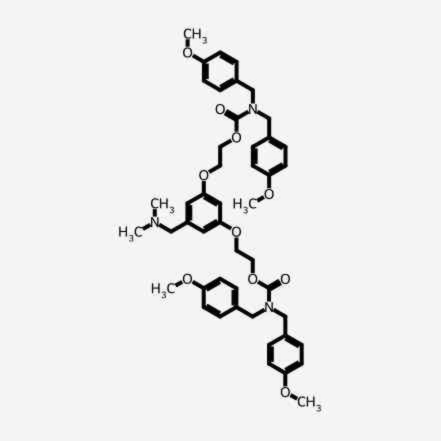 COc1ccc(CN(Cc2ccc(OC)cc2)C(=O)OCCOc2cc(CN(C)C)cc(OCCOC(=O)N(Cc3ccc(OC)cc3)Cc3ccc(OC)cc3)c2)cc1